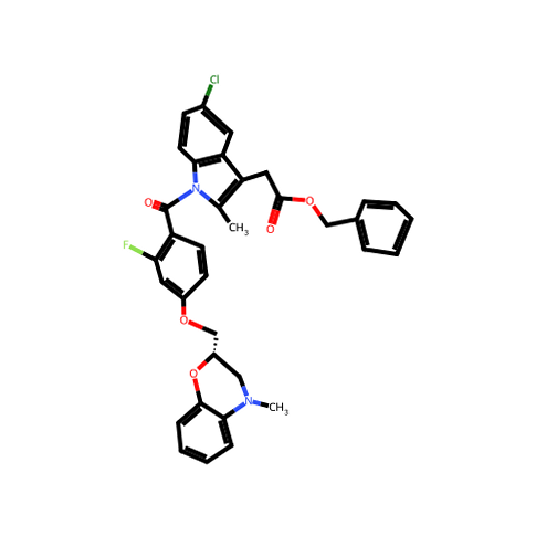 Cc1c(CC(=O)OCc2ccccc2)c2cc(Cl)ccc2n1C(=O)c1ccc(OC[C@@H]2CN(C)c3ccccc3O2)cc1F